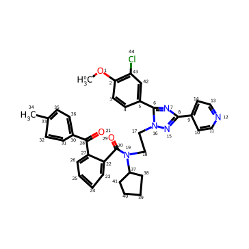 COc1ccc(-c2nc(-c3ccncc3)nn2CCN(C(=O)c2ccccc2C(=O)c2ccc(C)cc2)C2CCCC2)cc1Cl